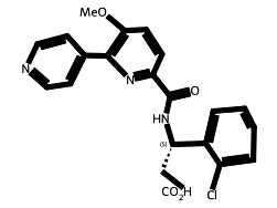 COc1ccc(C(=O)N[C@@H](CC(=O)O)c2ccccc2Cl)nc1-c1ccncc1